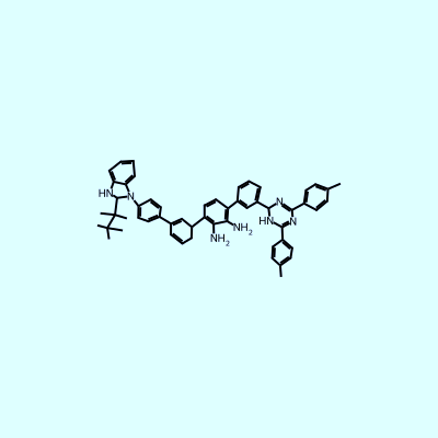 Cc1ccc(C2=NC(c3cccc(-c4ccc(C5C=C(c6ccc(N7c8ccccc8NC7C(C)(C)C(C)(C)C)cc6)C=CC5)c(N)c4N)c3)NC(c3ccc(C)cc3)=N2)cc1